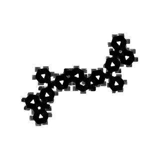 CC1(c2ccc(N(c3ccccc3)c3ccc4c(c3)sc3ccc5c(ccc6sc7cc(N(c8ccccc8)c8ccc(C9(C)c%10ccccc%10-c%10ccccc%109)cc8)ccc7c65)c34)cc2)c2ccccc2-c2ccccc21